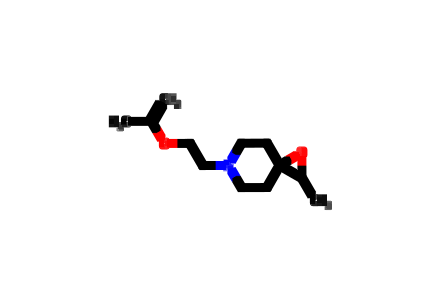 C=C(C)OCCN1CCC2(CC1)OC2C